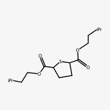 CC(C)CCOC(=O)C1CCC(C(=O)OCCC(C)C)S1